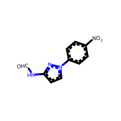 O=CNc1ccn(-c2ccc([N+](=O)[O-])cc2)n1